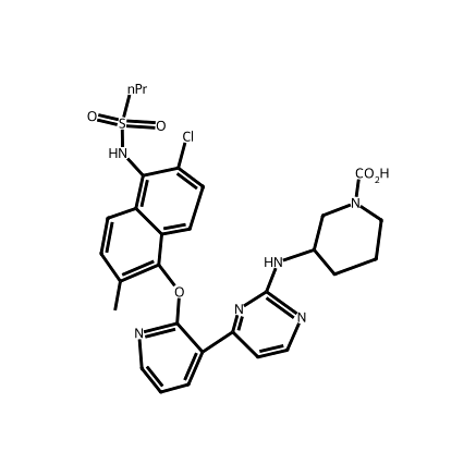 CCCS(=O)(=O)Nc1c(Cl)ccc2c(Oc3ncccc3-c3ccnc(NC4CCCN(C(=O)O)C4)n3)c(C)ccc12